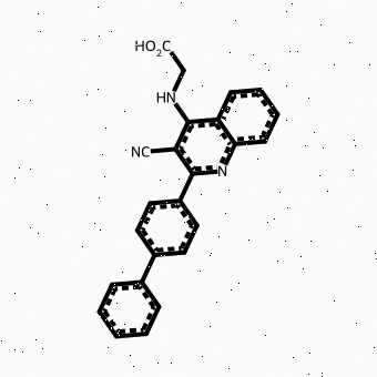 N#Cc1c(-c2ccc(-c3ccccc3)cc2)nc2ccccc2c1NCC(=O)O